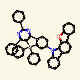 c1ccc(-c2nc(-c3ccccc3)c3c(n2)-c2ccc(-n4c5ccccc5c5ccc6c7ccccc7oc6c54)cc2[Si]3(c2ccccc2)c2ccccc2)cc1